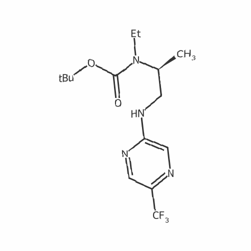 CCN(C(=O)OC(C)(C)C)[C@@H](C)CNc1cnc(C(F)(F)F)cn1